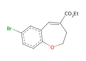 CCOC(=O)C1=Cc2cc(Br)ccc2OCC1